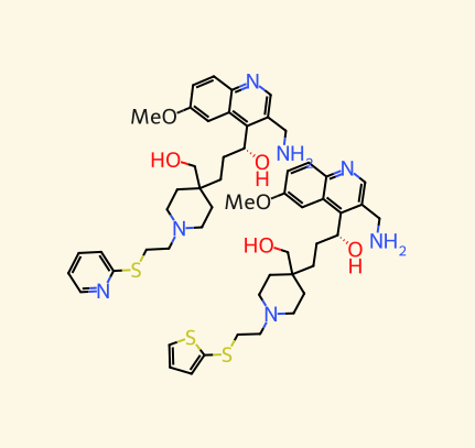 COc1ccc2ncc(CN)c([C@H](O)CCC3(CO)CCN(CCSc4ccccn4)CC3)c2c1.COc1ccc2ncc(CN)c([C@H](O)CCC3(CO)CCN(CCSc4cccs4)CC3)c2c1